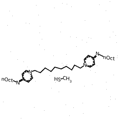 CCCCCCCCN=c1ccn(CCCCCCCCCCn2ccc(=NCCCCCCCC)cc2)cc1.CS